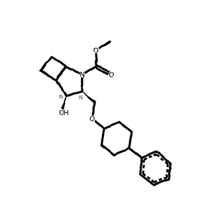 COC(=O)N1C2CCC2[C@H](O)[C@@H]1COC1CCC(c2ccccc2)CC1